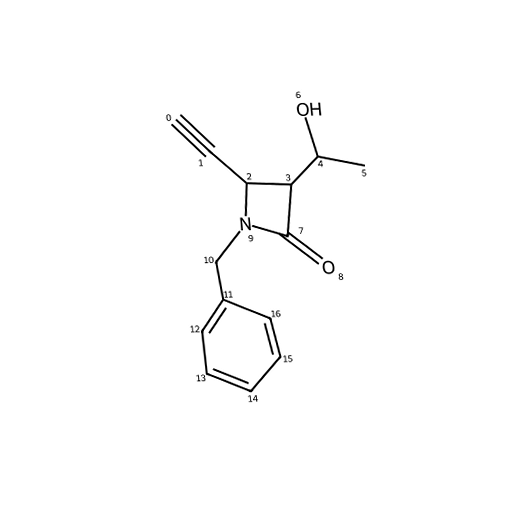 C#CC1C(C(C)O)C(=O)N1Cc1ccccc1